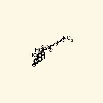 C[C@]12CCC(=O)C=C1CC[C@@H]1[C@@H]2[C@@H](O)C[C@@]2(C)[C@H]1CC[C@]2(O)C(=O)COC(=O)CCCSSCCO[N+](=O)[O-]